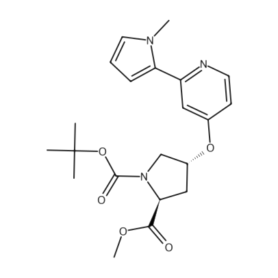 COC(=O)[C@@H]1C[C@@H](Oc2ccnc(-c3cccn3C)c2)CN1C(=O)OC(C)(C)C